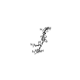 CC(N)(CO)C(=O)Cc1ccc(C(=O)Nc2ccn(CCC[C@H](CCCNC(=N)N)NCCCN)c(=O)n2)cc1